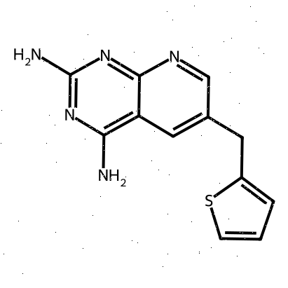 Nc1nc(N)c2cc(Cc3cccs3)cnc2n1